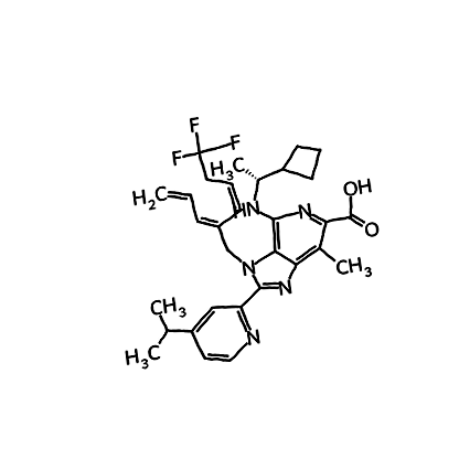 C=C/C=C(\C=C/CC(F)(F)F)Cn1c(-c2cc(C(C)C)ccn2)nc2c(C)c(C(=O)O)nc(N[C@H](C)C3CCC3)c21